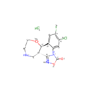 Cl.O=c1[nH]c([C@@H]2CNCCO[C@H]2c2ccc(Cl)c(F)c2)no1